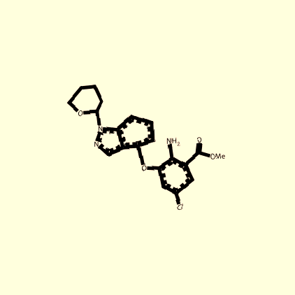 COC(=O)c1cc(Cl)cc(Oc2cccc3c2cnn3C2CCCCO2)c1N